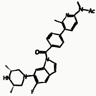 CC(=O)N(C)c1ccc(-c2ccc(C(=O)n3ccc4cc(F)c(N5C[C@@H](C)N[C@@H](C)C5)cc43)cc2)c(C)n1